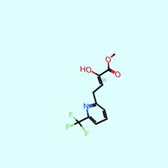 COC(=O)/C(O)=C/Cc1cccc(C(F)(F)F)n1